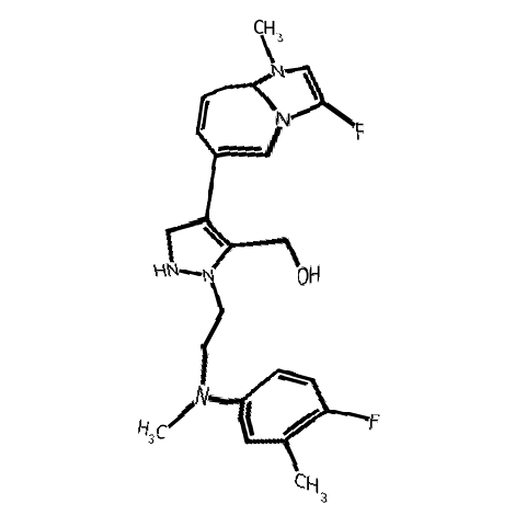 Cc1cc(N(C)CCN2NCC(C3=CN4C(F)=CN(C)C4C=C3)=C2CO)ccc1F